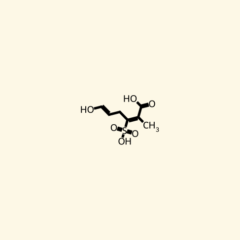 CC(C(=O)O)=C(CC=CO)S(=O)(=O)O